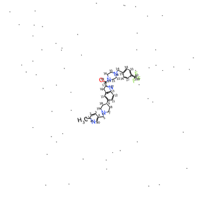 Cc1ccc(CN2CCC(c3ccc4c(c3)CC(C(=O)N3CCN(Cc5ccc(C(F)(F)F)cc5)CC3)=N4)CC2)cn1